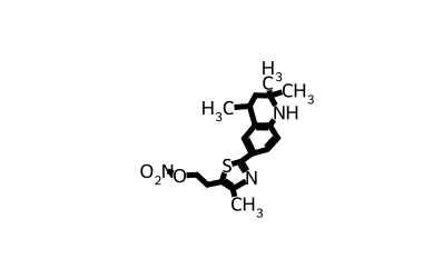 Cc1nc(-c2ccc3c(c2)C(C)CC(C)(C)N3)sc1CCO[N+](=O)[O-]